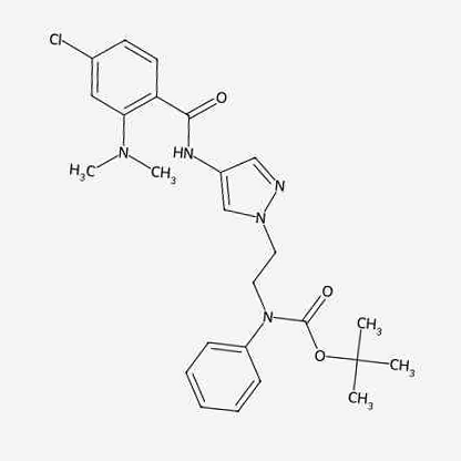 CN(C)c1cc(Cl)ccc1C(=O)Nc1cnn(CCN(C(=O)OC(C)(C)C)c2ccccc2)c1